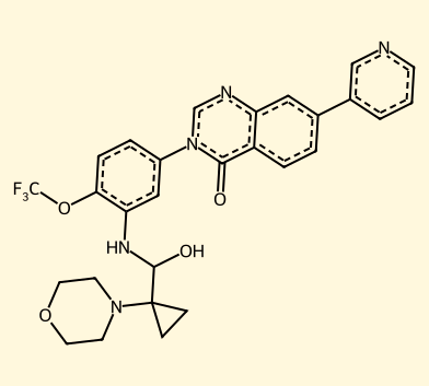 O=c1c2ccc(-c3cccnc3)cc2ncn1-c1ccc(OC(F)(F)F)c(NC(O)C2(N3CCOCC3)CC2)c1